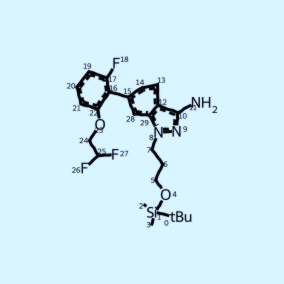 CC(C)(C)[Si](C)(C)OCCCn1nc(N)c2ccc(-c3c(F)cccc3OCC(F)F)cc21